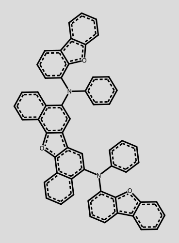 c1ccc(N(c2cc3c4cc(N(c5ccccc5)c5cccc6c5oc5ccccc56)c5ccccc5c4oc3c3ccccc23)c2cccc3c2oc2ccccc23)cc1